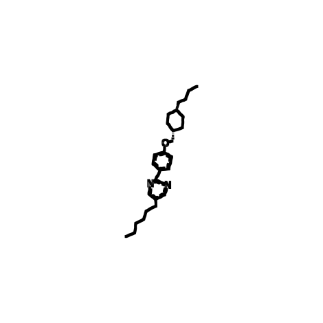 CCCCCCc1cnc(-c2ccc(OC[C@H]3CC[C@H](CCCC)CC3)cc2)nc1